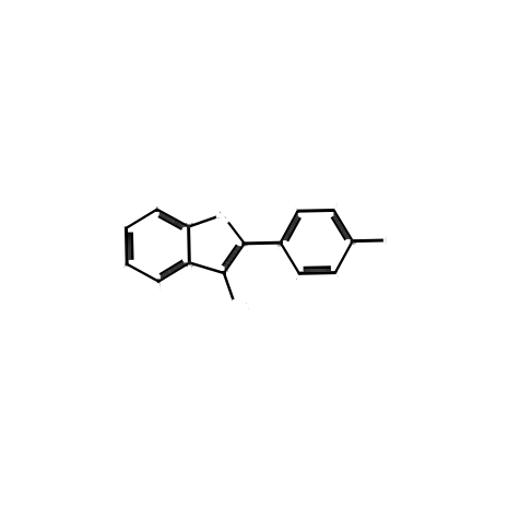 CC(=O)Oc1c(-c2ccc(F)cc2)[nH]c2ccccc12